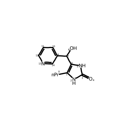 CCCc1[nH]c(=O)[nH]c1C(O)c1cccnc1